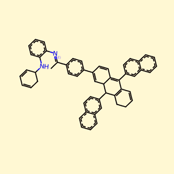 C/C(=N\c1ccccc1NC1C=CC=CC1)c1ccc(C2=CC3C(=C(c4ccc5ccccc5c4)C4=C(CCC=C4)C3c3ccc4ccccc4c3)C=C2)cc1